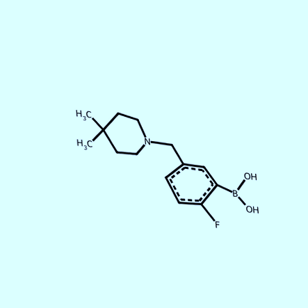 CC1(C)CCN(Cc2ccc(F)c(B(O)O)c2)CC1